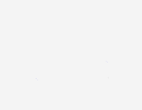 CC(C)C1=CC(C2=CCC(C(C)C/C=C\N)C=C2)C(C2CC=CCC2)C=N1